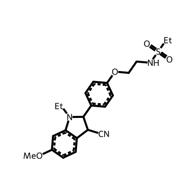 CCN1c2cc(OC)ccc2C(C#N)C1c1ccc(OCCNS(=O)(=O)CC)cc1